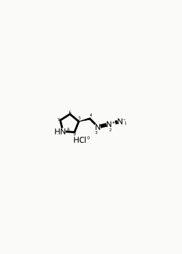 Cl.[N-]=[N+]=NC[C@@H]1CCNC1